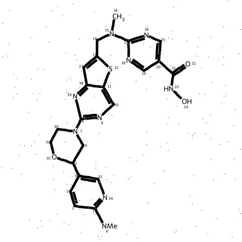 CNc1ccc(C2CN(c3ncc4sc(CN(C)c5ncc(C(=O)NO)cn5)cc4n3)CCO2)cn1